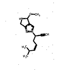 C#CC(C/C=C\C(C)C)n1cc2c(n1)CNC2OC